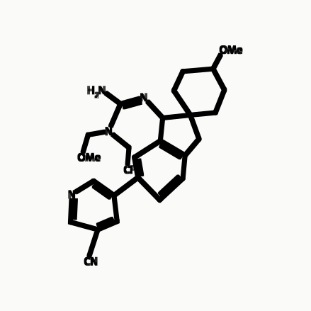 COCN(CC(F)(F)F)/C(N)=N\C1c2cc(-c3cncc(C#N)c3)ccc2CC12CCC(OC)CC2